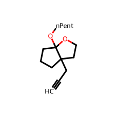 C#CCC12CCCC1(OCCCCC)OCC2